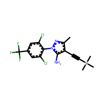 Cc1nn(-c2c(Cl)cc(C(F)(F)F)cc2Cl)c(N)c1C#C[Si](C)(C)C